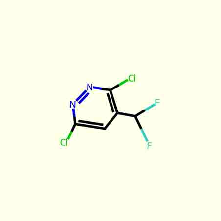 FC(F)c1cc(Cl)nnc1Cl